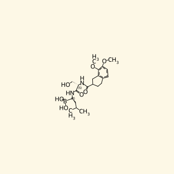 COc1ccc2c(c1OC)CC(C(=O)N[C@@H](CO)C(=O)N[C@@H](CC(C)C)B(O)O)CC2